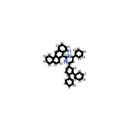 C1=C(c2ccc(-c3ccccc3)c(-c3ccccc3)c2)N=C(c2c3ccccc3cc3c2ccc2ccccc23)NC1c1ccccc1